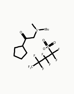 C[S+](CC(=O)C1CCCC1)C(C)(C)C.O=S(=O)([O-])C(F)(F)C(F)(F)C(F)(F)C(F)(F)F